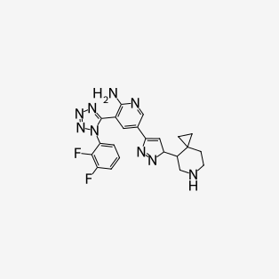 Nc1ncc(C2=CC(C3CNCCC34CC4)N=N2)cc1-c1nnnn1-c1cccc(F)c1F